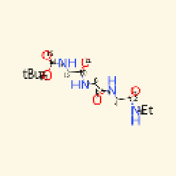 CCNC(=O)CNC(=O)CNC(=O)CNC(=O)OC(C)(C)C